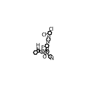 O=C(N[C@H](Cc1c[nH]c2ccccc12)C(=O)Nc1ccncc1)c1ccc(N2CCN(c3ccc(Cl)cc3Cl)CC2)cc1F